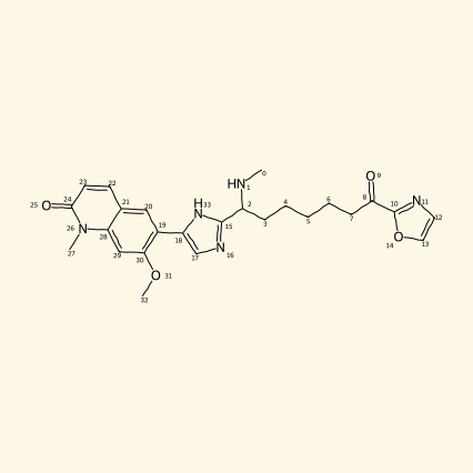 CNC(CCCCCC(=O)c1ncco1)c1ncc(-c2cc3ccc(=O)n(C)c3cc2OC)[nH]1